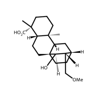 COC[C@H]1[C@H]2CC[C@@]3(CC[C@H]4[C@@](C)(CCC[C@@]4(C)C(=O)O)[C@@H]3C2)[C@@H]1O